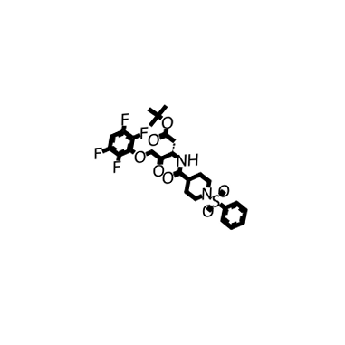 CC(C)(C)OC(=O)C[C@H](NC(=O)C1CCN(S(=O)(=O)c2ccccc2)CC1)C(=O)COc1c(F)c(F)cc(F)c1F